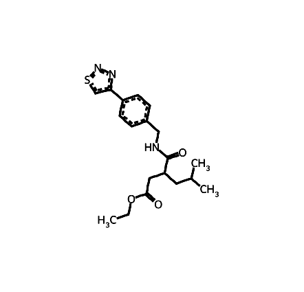 CCOC(=O)CC(CC(C)C)C(=O)NCc1ccc(-c2csnn2)cc1